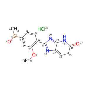 CCCOc1cc([S+](C)[O-])ccc1C1=NC2=CCC(=O)NC2=N1.Cl